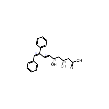 O=C(O)C[C@H](O)C[C@H](O)/C=C/C(=C\c1ccccc1)c1ccccc1